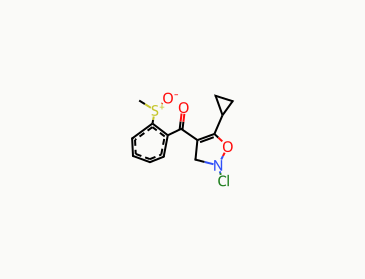 C[S+]([O-])c1ccccc1C(=O)C1=C(C2CC2)ON(Cl)C1